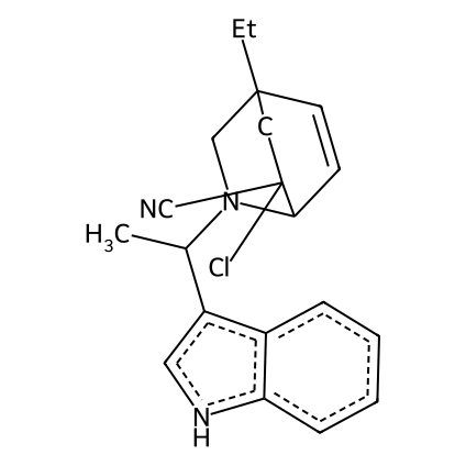 CCC12C=CC(N(C(C)c3c[nH]c4ccccc34)C1)C(Cl)(C#N)C2